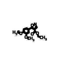 CCOC(=O)c1cnoc1-c1ccc(OC)c(OC)c1